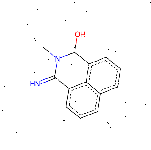 CN1C(=N)c2cccc3cccc(c23)C1O